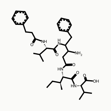 CC[C@H](C)[C@H](NC(=O)CC(N)C(Cc1ccccc1)NC(=O)[C@@H](NC(=O)CCc1ccccc1)C(C)C)C(=O)N[C@H](C(=O)O)C(C)C